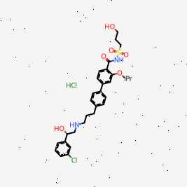 CC(C)Oc1cc(-c2ccc(CCCNC[C@H](O)c3cccc(Cl)c3)cc2)ccc1C(=O)NS(=O)(=O)CCCO.Cl